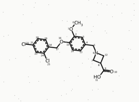 COc1cc(CN2CC(C(=O)O)C2)ccc1OCc1ccc(Cl)cc1Cl